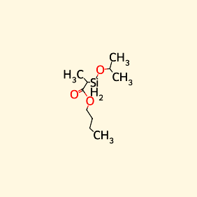 CCCCOC(=O)C(C)[SiH2]OC(C)C